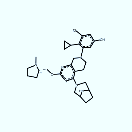 CN1CCC[C@H]1COc1nc2c(c(N3CC4CCC(C3)N4)n1)CCN(c1cc(O)cc(Cl)c1C1CC1)C2